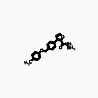 Cc1ccc(OCc2ccc(-c3ccoc3C(=O)NN)cc2)cc1